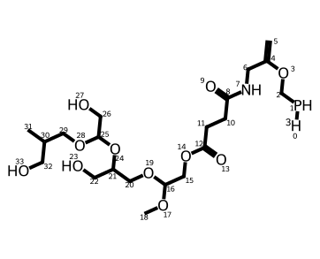 [3H]PCOC(=C)CNC(=O)CCC(=O)OCC(OC)OCC(CO)OC(CO)OCC(C)CO